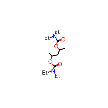 CCN(CC)C(=O)OC(C)CC(C)OC(=O)N(CC)CC